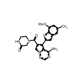 COc1cc(C)cc2cc(-c3c(C(=O)N4CCNC(=O)C4)cn4ncnc(N)c34)sc12